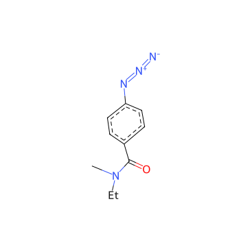 CCN(C)C(=O)c1ccc(N=[N+]=[N-])cc1